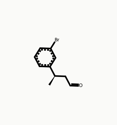 C[C@H](CC=O)c1cccc(Br)c1